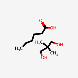 CC(C)(CO)CO.CCCCCC(=O)O